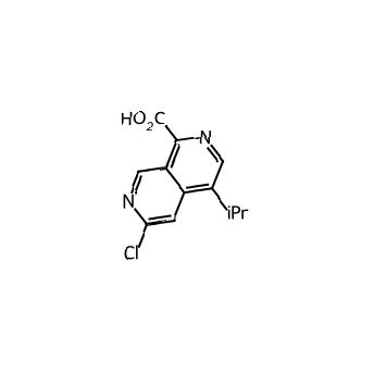 CC(C)c1cnc(C(=O)O)c2cnc(Cl)cc12